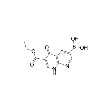 CCOC(=O)c1c[nH]c2ncc(B(O)O)cc2c1=O